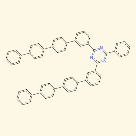 c1ccc(-c2ccc(-c3ccc(-c4cccc(-c5nc(-c6ccccc6)nc(-c6cccc(-c7ccc(-c8ccc(-c9ccccc9)cc8)cc7)c6)n5)c4)cc3)cc2)cc1